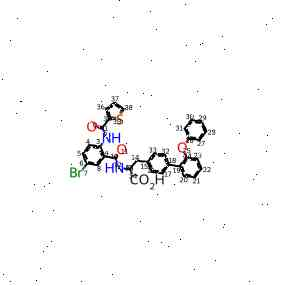 O=C(Nc1ccc(Br)cc1C(=O)N[C@@H](Cc1ccc(-c2ccccc2Oc2ccccc2)cc1)C(=O)O)c1cccs1